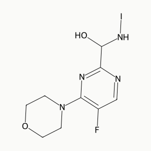 OC(NI)c1ncc(F)c(N2CCOCC2)n1